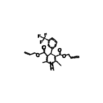 C=CCOC(=O)C1=C(C)NC(C)=C(C(=O)OCC=C)C1c1cccc(C(F)(F)F)c1